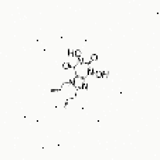 C=CCc1nc2c(c(=O)n(O)c(=O)n2O)n1CC=C